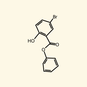 O=C(Oc1ccccc1)c1cc(Br)ccc1O